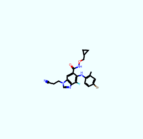 Cc1cc(Br)ccc1Nc1c(C(=O)NOCC2CC2)cc2c(ncn2CCC#N)c1F